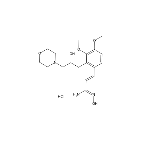 COc1ccc(C=CC(N)=NO)c(CC(O)CN2CCOCC2)c1OC.Cl